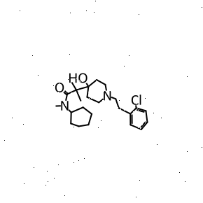 CN(C(=O)C(C)(C)C1(O)CCN(CCc2ccccc2Cl)CC1)C1CCCCC1